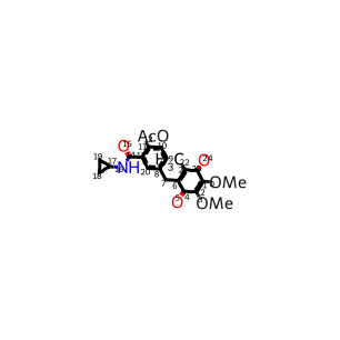 COC1=C(OC)C(=O)C(Cc2ccc(OC(C)=O)c(C(=O)NC3CC3)c2)=C(C)C1=O